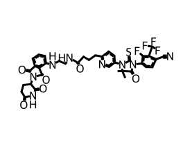 CC1(C)C(=O)N(c2ccc(C#N)c(C(F)(F)F)c2F)C(=S)N1c1ccc(CCCC(=O)NCCNc2cccc3c2C(=O)N(C2CCC(=O)NC2=O)C3=O)nc1